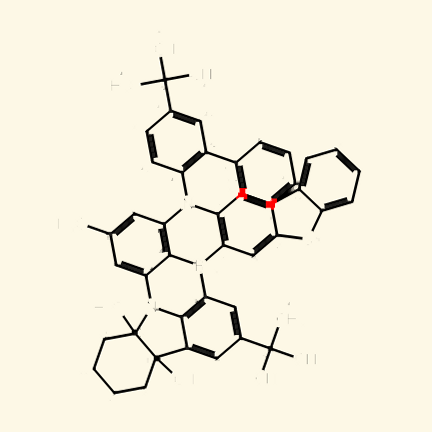 Cc1cc2c3c(c1)N1c4c(cc(C(C)(C)C)cc4C4(C)CCCCC14C)B3c1cc3sc4ccccc4c3cc1N2c1ccc(C(C)(C)C)cc1-c1ccccc1